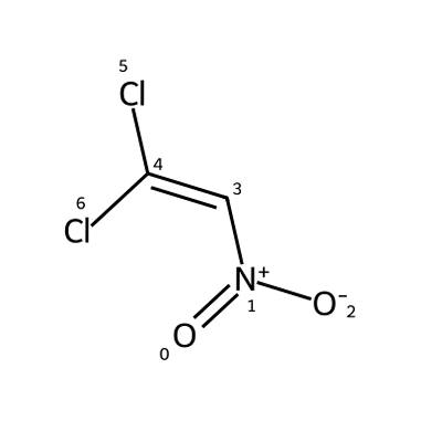 O=[N+]([O-])C=C(Cl)Cl